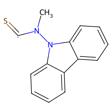 CN([C]=S)n1c2ccccc2c2ccccc21